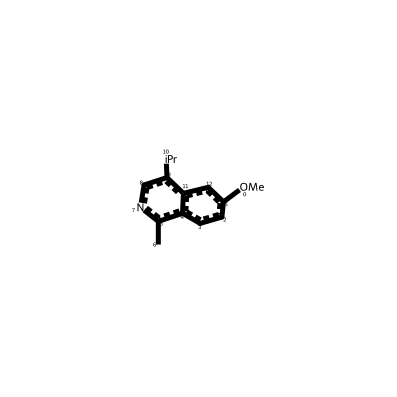 COc1ccc2c(C)ncc(C(C)C)c2c1